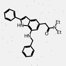 CCN(CC)C(=O)Cc1cc(NCc2ccccc2)c2[nH]c(-c3ccccc3)cc2c1